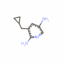 Nc1cnc(N)c(CC2CC2)c1